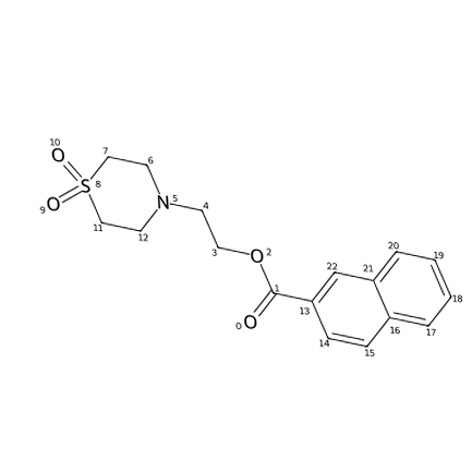 O=C(OCCN1CCS(=O)(=O)CC1)c1ccc2ccccc2c1